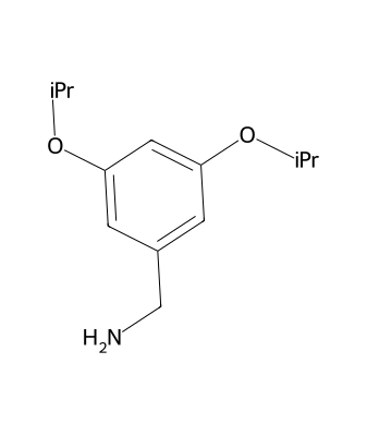 CC(C)Oc1cc(CN)cc(OC(C)C)c1